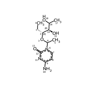 CC[C@@H](OC(C)n1ccc(N)nc1=O)[C@H](O)C(C)O